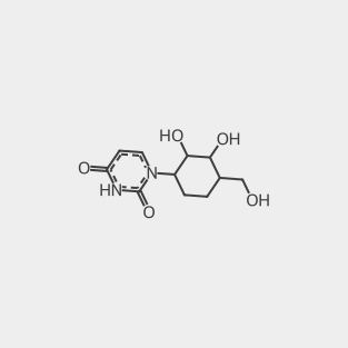 O=c1ccn(C2CCC(CO)C(O)C2O)c(=O)[nH]1